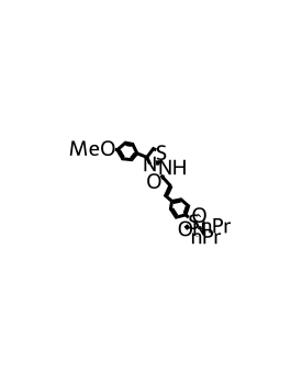 CCCN(CCC)S(=O)(=O)c1ccc(/C=C/C(=O)NC2=NC(c3ccc(OC)cc3)CS2)cc1